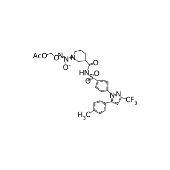 CC(=O)OCO/N=[N+](\[O-])N1CCCC(C(=O)NS(=O)(=O)c2ccc(-n3nc(C(F)(F)F)cc3-c3ccc(C)cc3)cc2)C1